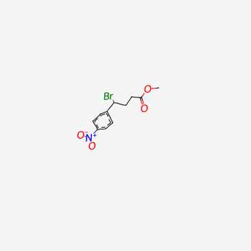 COC(=O)CCC(Br)c1ccc([N+](=O)[O-])cc1